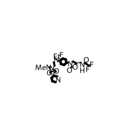 CCN(CCN(NC)S(=O)(=O)c1cccnc1)c1ccc(N2C[C@H](CNC(=O)C(F)F)OC2=O)cc1F